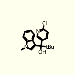 Cn1cc(C(O)(c2ccc(Cl)nc2)C(C)(C)C)c2ccccc21